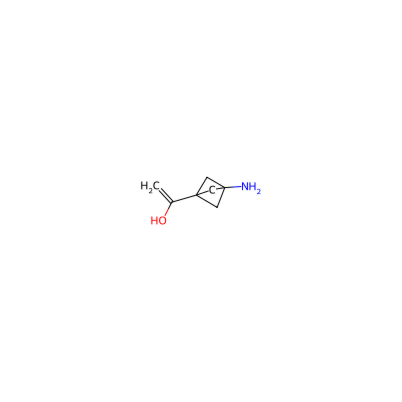 C=C(O)C12CC(N)(C1)C2